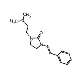 CN(C)CCN1CCN(/N=C/c2ccccc2)C1=O